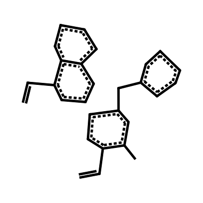 C=Cc1ccc(Cc2ccccc2)cc1C.C=Cc1cccc2ccccc12